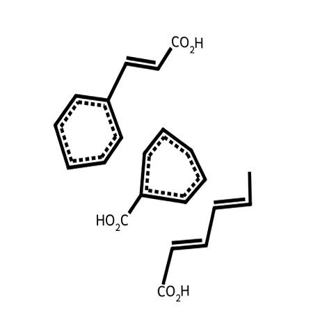 CC=CC=CC(=O)O.O=C(O)C=Cc1ccccc1.O=C(O)c1ccccc1